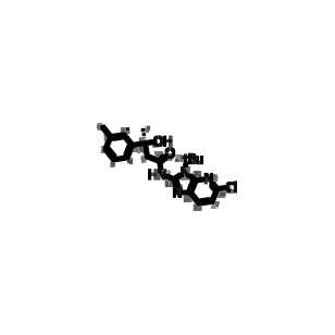 Cc1cccc([C@@](C)(O)CC(=O)Nc2nc3ccc(Cl)nc3n2C(C)(C)C)c1